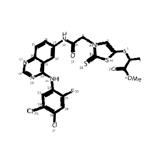 COC(=O)C(C)Sc1cn(CC(=O)Nc2ccc3ncnc(Nc4cc(Cl)c(Cl)cc4F)c3c2)c(=S)s1